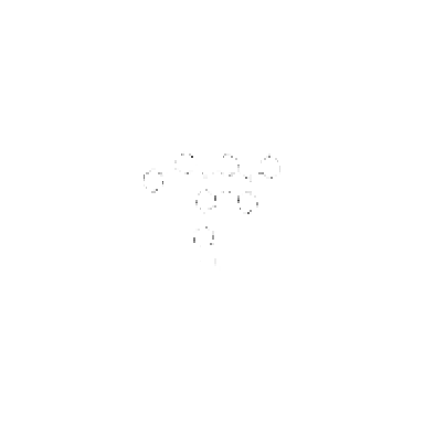 Cc1ccc(-c2ccc3c(c2)B2c4ccccc4N(c4ccccc4)c4cccc(c42)N3c2cccc(-c3ccccc3)c2)cc1